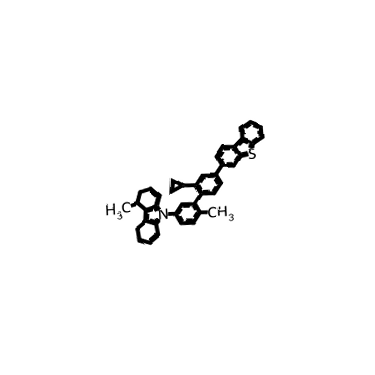 Cc1ccc(-n2c3c(c4c2C=CCC4C)CCC=C3)cc1-c1ccc(-c2ccc3c(c2)sc2ccccc23)cc1C1CC1